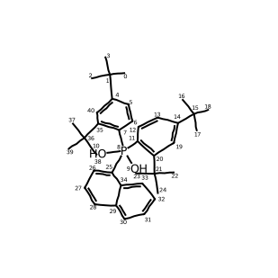 CC(C)(C)c1ccc(P(O)(O)(c2ccc(C(C)(C)C)cc2C(C)(C)C)c2cccc3ccccc23)c(C(C)(C)C)c1